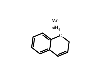 C1=Cc2ccccc2OC1.[Mn].[SiH4]